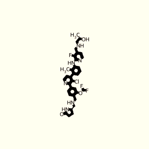 Cc1c(Nc2nccc(CNC[C@H](C)O)c2F)cccc1-c1ccnc(-c2ccc(CNC[C@H]3CCC(=O)N3)c(OC(F)F)c2)c1Cl